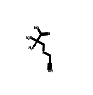 C#CCSC[C@](C)(N)C(=O)O